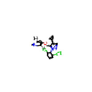 CN1C[C@@H]2C[C@H]1C[C@H]2OCc1c(C2CC2)cnn1-c1c(Cl)cccc1Cl